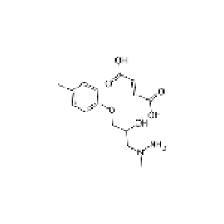 Cc1ccc(OCC(O)CN(C)N)cc1.O=C(O)/C=C/C(=O)O